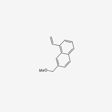 C=Cc1cccc2ccc(COC)cc12